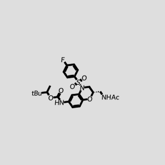 CC(=O)NC[C@H]1CN(S(=O)(=O)c2ccc(F)cc2)c2cc(NC(=O)OC(C)C(C)(C)C)ccc2O1